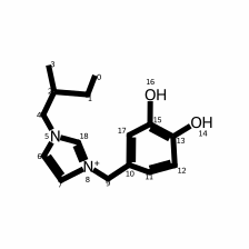 CCC(C)Cn1cc[n+](Cc2ccc(O)c(O)c2)c1